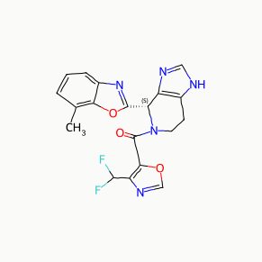 Cc1cccc2nc([C@@H]3c4nc[nH]c4CCN3C(=O)c3ocnc3C(F)F)oc12